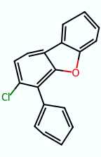 Clc1ccc2c(oc3ccccc32)c1-c1ccccc1